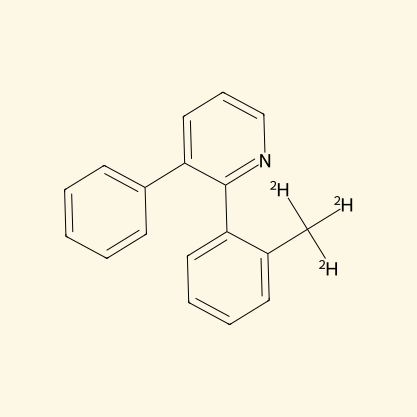 [2H]C([2H])([2H])c1ccccc1-c1ncccc1-c1ccccc1